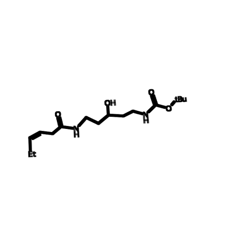 CC/C=C\CC(=O)NCCC(O)CCNC(=O)OC(C)(C)C